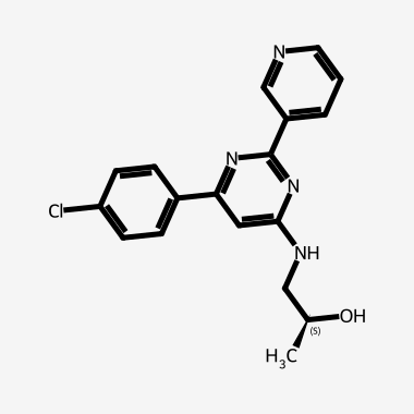 C[C@H](O)CNc1cc(-c2ccc(Cl)cc2)nc(-c2cccnc2)n1